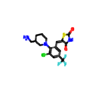 NCC1CCCN(c2c(Cl)cc(C(F)(F)F)cc2C=C2SC(=O)NC2=O)C1